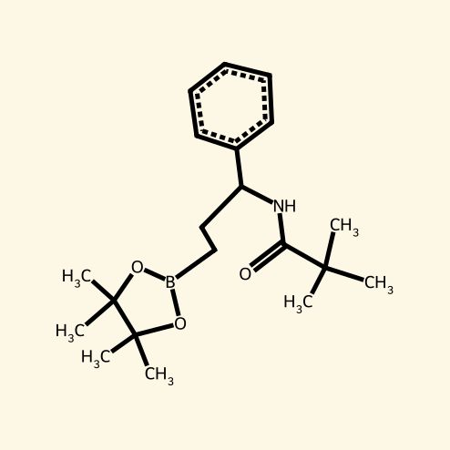 CC(C)(C)C(=O)NC(CCB1OC(C)(C)C(C)(C)O1)c1ccccc1